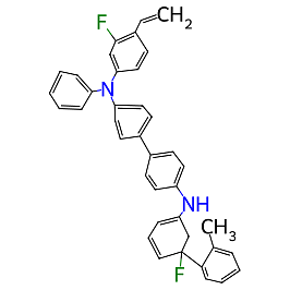 C=Cc1ccc(N(c2ccccc2)c2ccc(-c3ccc(NC4=CC=CC(F)(c5ccccc5C)C4)cc3)cc2)cc1F